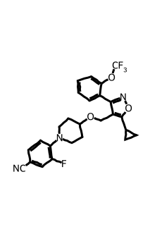 N#Cc1ccc(N2CCC(OCc3c(-c4ccccc4OC(F)(F)F)noc3C3CC3)CC2)c(F)c1